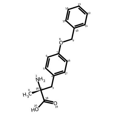 C[C@@](N)(Cc1ccc(OCc2ccccc2)cc1)C(=O)O